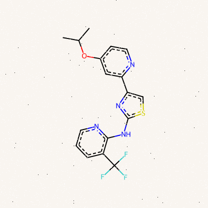 CC(C)Oc1ccnc(-c2csc(Nc3nc[c]cc3C(F)(F)F)n2)c1